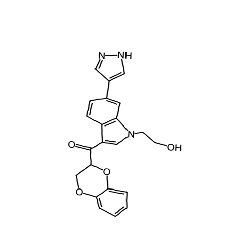 O=C(c1cn(CCO)c2cc(-c3cn[nH]c3)ccc12)C1COc2ccccc2O1